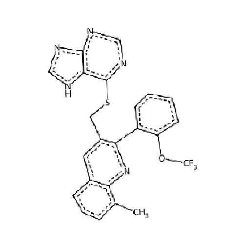 Cc1cccc2cc(CSc3ncnc4nc[nH]c34)c(-c3ccccc3OC(F)(F)F)nc12